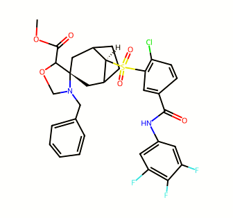 COC(=O)C1OCN(Cc2ccccc2)[C@]12CC1CCC(C2)[C@H]1S(=O)(=O)c1cc(C(=O)Nc2cc(F)c(F)c(F)c2)ccc1Cl